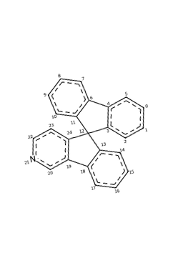 c1ccc2c(c1)-c1ccccc1C21c2ccccc2-c2cnccc21